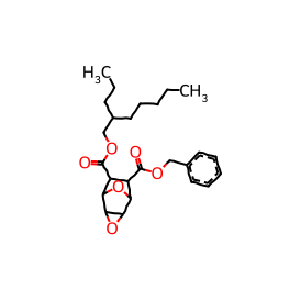 CCCCCC(CCC)COC(=O)C1C2OC(C3OC32)C1C(=O)OCc1ccccc1